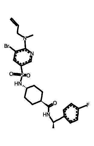 C=CCN(C)c1ncc(S(=O)(=O)N[C@H]2CC[C@H](C(=O)N[C@H](C)c3ccc(F)cc3)CC2)cc1Br